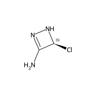 NC1=NN[C@H]1Cl